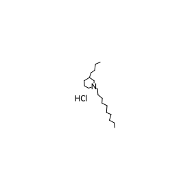 CCCCCCCCCCN1CCCC(CCCC)C1.Cl